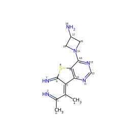 CC(=N)/C(C)=C1\C(=N)Sc2c1ncnc2N1CC(N)C1